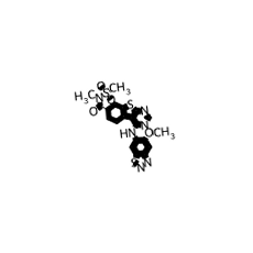 COc1cc2nnsc2cc1Nc1ncnc2sc3c(c12)CC[C@H](C(=O)N(C)S(C)(=O)=O)C3